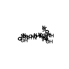 Cc1ncsc1-c1ccc([C@H](C)NC(=O)[C@@H]2C[C@@H](O)CN2C(=O)[C@H](c2cc(-c3cnc(N4CCC(c5cc6nnc(-c7ccccc7O)cc6[nH]5)CC4)nc3)no2)C(C)C)cc1